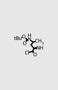 CC(CC(=N)C(=O)Cl)NC(=O)OC(C)(C)C